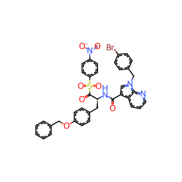 O=C(N[C@@H](Cc1ccc(OCc2ccccc2)cc1)C(=O)S(=O)(=O)c1ccc([N+](=O)[O-])cc1)c1cn(Cc2ccc(Br)cc2)c2ncccc12